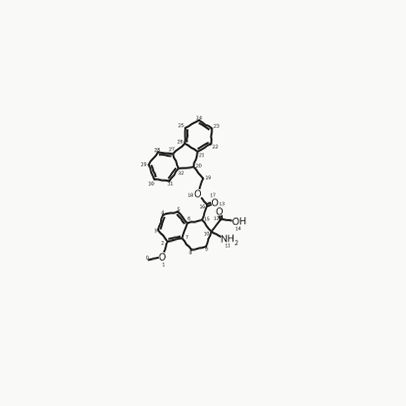 COc1cccc2c1CCC(N)(C(=O)O)C2C(=O)OCC1c2ccccc2-c2ccccc21